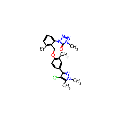 CCc1cccc(-n2nnn(C)c2=O)c1COc1ccc(-c2nn(C)c(C)c2Cl)cc1C